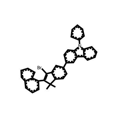 CC1(C)C(c2cccc3ccccc23)=C(Br)c2cc(-c3ccc4c(c3)c3ccccc3n4-c3ccccc3)ccc21